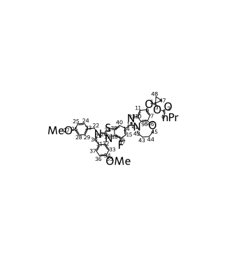 CCCC(=O)OC1(Oc2cc3c4c(c2)nc(-c2cc(F)c5nc(N(Cc6ccc(OC)cc6)Cc6ccc(OC)cc6)sc5c2)n4CCCCO3)CC1